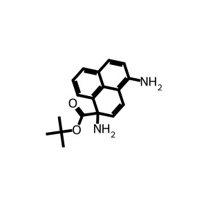 CC(C)(C)OC(=O)C1(N)C=Cc2c(N)ccc3cccc1c23